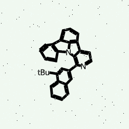 CC(C)(C)c1cc(-c2nccc3c4cccc5c6c#cccc6n(c23)c54)cc2ccccc12